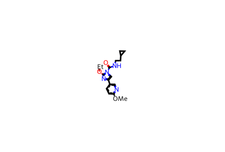 CCOc1nc(-c2ccc(OC)nc2)cn1C(=O)NCCC1CC1